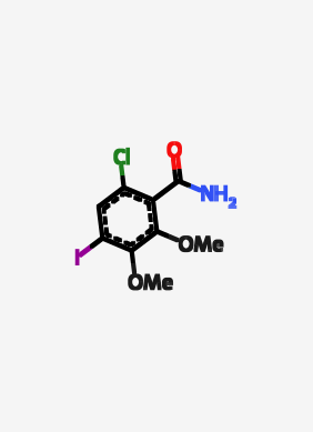 COc1c(I)cc(Cl)c(C(N)=O)c1OC